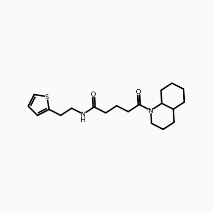 O=C(CCCC(=O)N1CCCC2CCCCC21)NCCc1cccs1